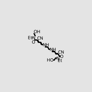 CCN(CCO)C(=O)/C(C#N)=C/C=C/NCCCN/C=C/C=C(\C#N)C(=O)N(CC)CCO